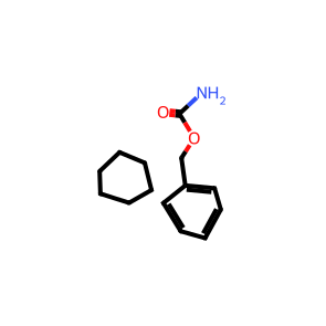 C1CCCCC1.NC(=O)OCc1ccccc1